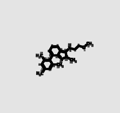 COCCNc1c2cccc(-c3c(C)cc(C)cc3C)c2nn1C